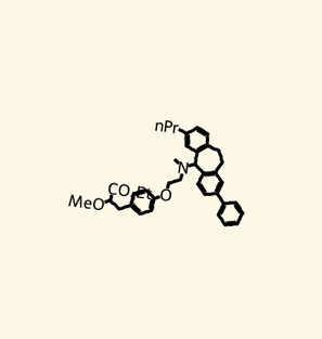 CCCc1ccc2c(c1)C(N(C)CCOc1ccc(CC(OC)C(=O)OCC)cc1)c1ccc(-c3ccccc3)cc1CC2